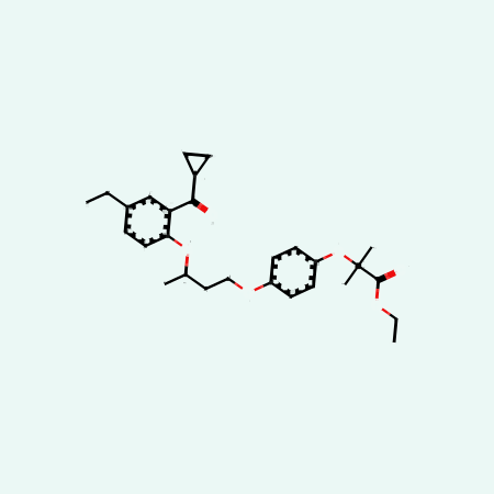 CCOC(=O)C(C)(C)Oc1ccc(OCCC(C)Oc2ccc(CC)cc2C(=O)C2CC2)cc1